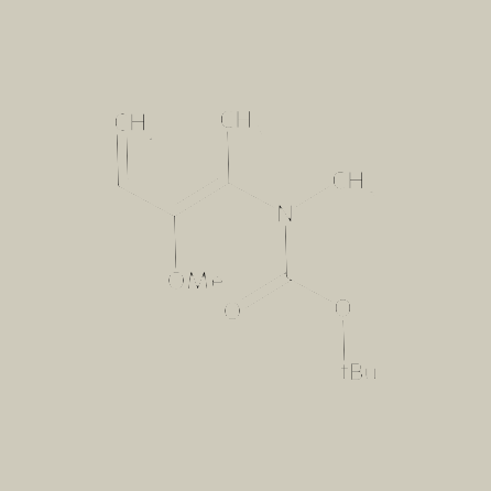 C=C/C(OC)=C(\C)N(C)C(=O)OC(C)(C)C